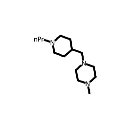 CCCN1CCC(CN2CCN(C)CC2)CC1